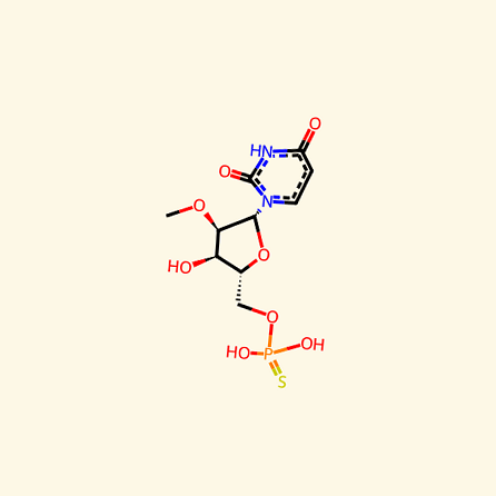 CO[C@@H]1[C@H](O)[C@@H](COP(O)(O)=S)O[C@H]1n1ccc(=O)[nH]c1=O